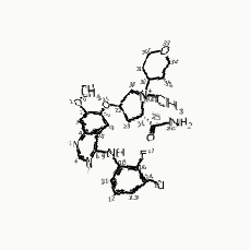 COc1cc2ncnc(Nc3cccc(Cl)c3F)c2cc1O[C@@H]1C[C@@H](C(N)=O)[N+](C)(C2CCOCC2)C1